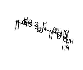 CNCCCCNCCC(CCCO)C(=O)OCCCCC(=O)OCCCC(CCNCCCCCCNCCC(CCCOC(=O)CCCCOC(=O)C(CCCO)CC(C)NCCCCCCNC(C)C)C(=O)OC(C)C)C(=O)OC(C)C